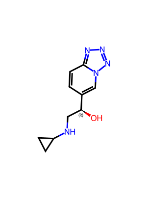 O[C@@H](CNC1CC1)c1ccc2nnnn2c1